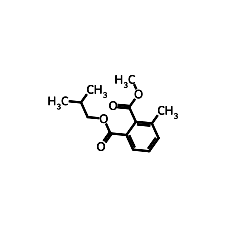 COC(=O)c1c(C)cccc1C(=O)OCC(C)C